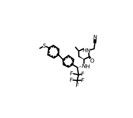 CSc1ccc(-c2ccc([C@H](N[C@@H](CC(C)C)C(=O)NCC#N)C(F)(F)C(F)(F)F)cc2)cc1